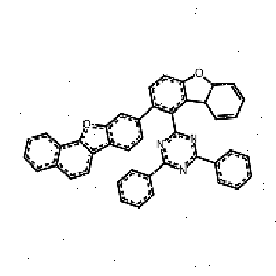 C1=CC2Oc3ccc(-c4ccc5c(c4)oc4c6ccccc6ccc54)c(-c4nc(-c5ccccc5)nc(-c5ccccc5)n4)c3C2C=C1